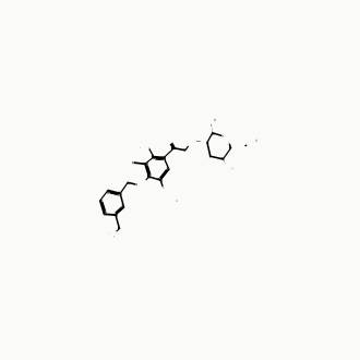 Cc1c(C(=O)CO[C@@H]2[C@@H](O)[C@H](O)[C@@H](CO)O[C@@H]2O)cc(Cl)c(OCc2cccc(CN)c2)c1Cl.Cl